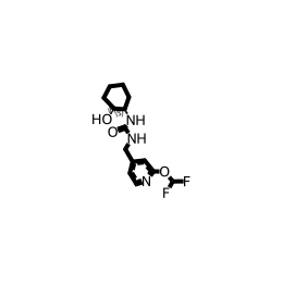 O=C(NCc1ccnc(OC(F)F)c1)N[C@H]1CCCC[C@H]1O